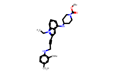 COc1cc(C(=O)O)ccc1NCC#Cc1cc2c(NC3CCN(C(=O)OC(C)(C)C)CC3)cccc2n1CC(F)(F)F